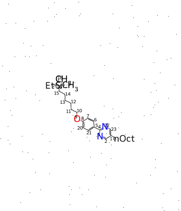 CCCCCCCCc1cnc(-c2ccc(OCCCCCC[Si](C)(C)CC)cc2)nc1